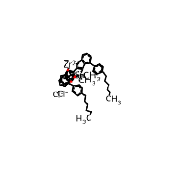 CCCCCCc1ccc(-c2cccc3c2C2=C(c4ccccc4)[CH]3[Zr+2][CH]3C(c4ccccc4)=C(c4c(-c5ccc(CCCCCC)cc5)cccc43)[Si]2(C)C)cc1.[Cl-].[Cl-]